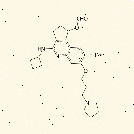 COc1cc2c3c(c(NC4CCC4)nc2cc1OCCCN1CCCC1)CCC3OC=O